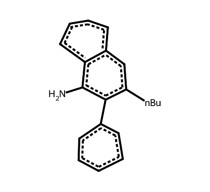 CCCCc1cc2ccccc2c(N)c1-c1ccccc1